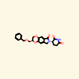 O=C1CC[C@H](N2Cc3cc4c(cc3C2=O)OC[C@H](COCc2ccccc2)O4)C(=O)N1